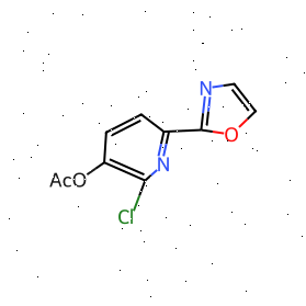 CC(=O)Oc1ccc(-c2ncco2)nc1Cl